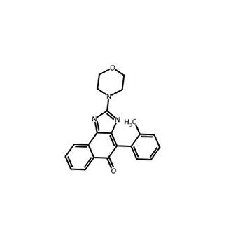 Cc1ccccc1C1=C2N=C(N3CCOCC3)N=C2c2ccccc2C1=O